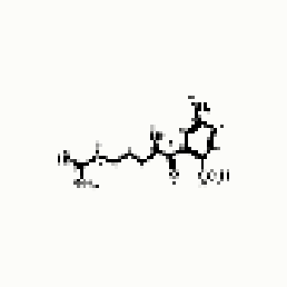 N=C(N)NCCCC(N)C(=O)c1cc(N)ccc1C(=O)O